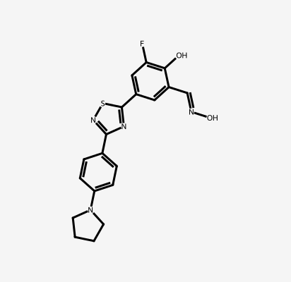 ON=Cc1cc(-c2nc(-c3ccc(N4CCCC4)cc3)ns2)cc(F)c1O